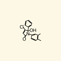 Cc1ccc(N2C(=O)C=C(Cl)C2(O)c2ccccc2)cc1C